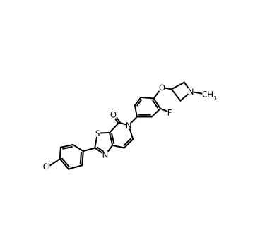 CN1CC(Oc2ccc(-n3ccc4nc(-c5ccc(Cl)cc5)sc4c3=O)cc2F)C1